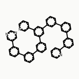 c1ccc(-c2cccc(-c3cccc(-c4cccc(-c5cc(-c6cccnc6)cc(-c6cccc(-c7cccc(-c8cccc(-c9cncnc9)c8)c7)c6)c5)c4)c3)c2)nc1